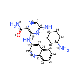 NC(=O)c1ncc(N[C@H]2CC[C@H](N)CC2)nc1Nc1cnc2ccccc2c1